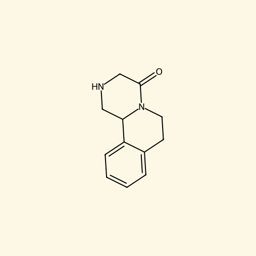 O=C1CNCC2c3ccccc3CCN12